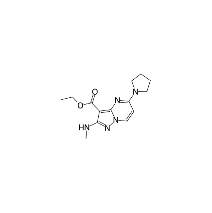 CCOC(=O)c1c(NC)nn2ccc(N3CCCC3)nc12